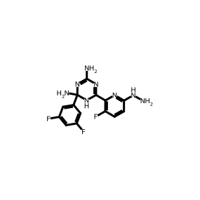 NNc1ccc(F)c(C2=NC(N)=NC(N)(c3cc(F)cc(F)c3)N2)n1